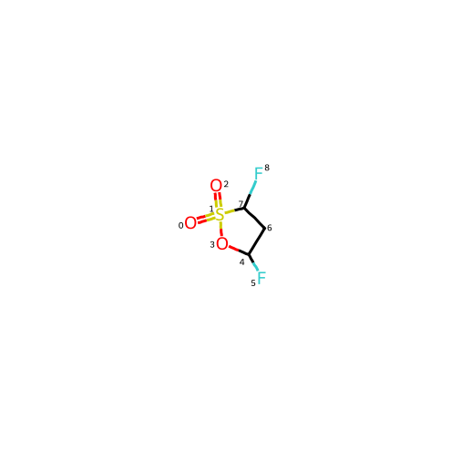 O=S1(=O)OC(F)CC1F